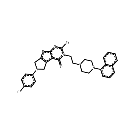 CCc1nc2sc3c(c2c(=O)n1CCN1CCN(c2cccc4ccccc24)CC1)CN(c1ccc(Cl)cc1)C3